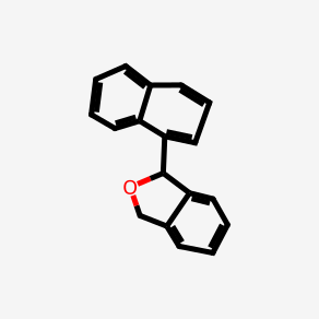 c1ccc2c(c1)COC2c1cccc2ccccc12